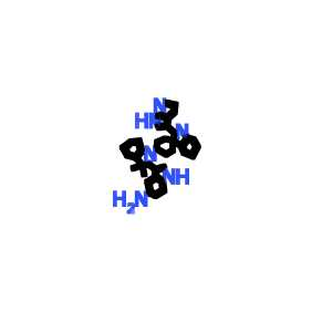 CC1(C)c2ccccc2N(C2CCC3(CC2)C(c2c[nH]c4ncccc24)=Nc2ccccc23)C1c1c[nH]c2ccc(N)cc12